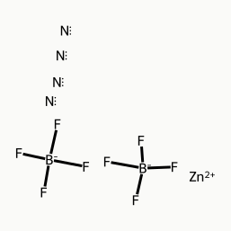 F[B-](F)(F)F.F[B-](F)(F)F.[N].[N].[N].[N].[Zn+2]